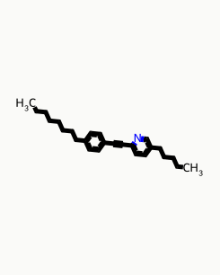 CCCCCCCCc1ccc(C#Cc2ccc(CCCCC)cn2)cc1